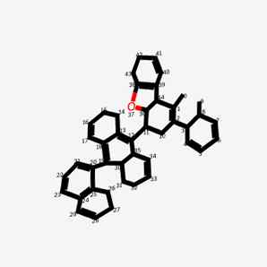 CC1=C(C2C=CC=CC2C)CC(C2=C3CCC=CC3=C(c3cccc4c3CCC=C4)C3CCC=CC23)C2OC3=C(C=CCC3)C12